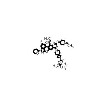 CCOc1c(-c2c(C)c(F)cc3c2cnn3C2CCCCO2)c(Cl)cc2c(N3CCC4(CC3)CN(C(=O)OC(C)(C)C)C4)nc(OC3CCN(CC)CC3)nc12